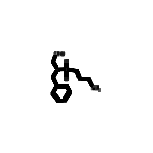 O=CCN(Cc1ccccc1)S(=O)(=O)CCC[N+](=O)[O-]